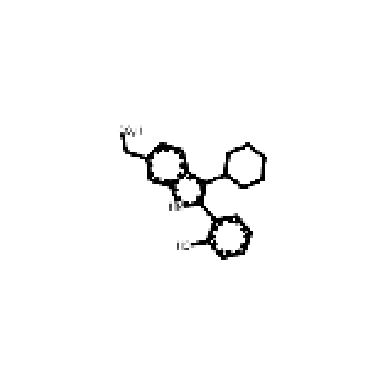 O=C(O)Cc1ccc2c(C3CCCCC3)c(-c3ccccc3O)[nH]c2c1